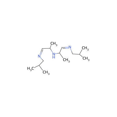 CC(C)C/N=C\C(C)NC(C)/C=N\CC(C)C